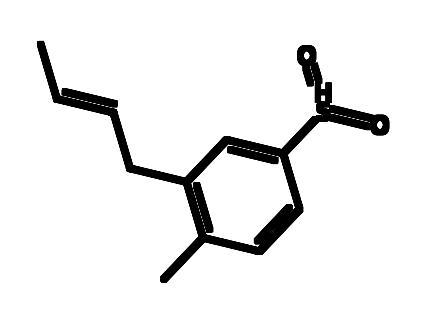 CC=CCc1cc([SH](=O)=O)ccc1C